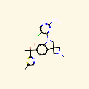 Cc1cnc(C(C)(O)c2ccc3c(c2)N(c2nc(N)ncc2Cl)CC32CN(C)C2)s1